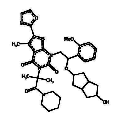 COc1ccccc1C(Cn1c(=O)n(C(C)(C)C(=O)N2CCCCC2)c(=O)c2c(C)c(-c3ncco3)sc21)OC1CC2CC(O)CC2C1